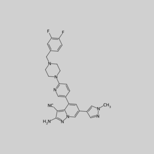 Cn1cc(-c2cc(-c3ccc(N4CCN(Cc5ccc(F)c(F)c5)CC4)nc3)c3c(C#N)c(N)nn3c2)cn1